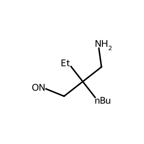 CCCCC(CC)(CN)CN=O